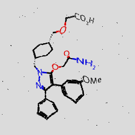 COc1cccc(-c2c(-c3ccccc3)nn(C[C@H]3CC[C@@H](COCC(=O)O)CC3)c2OCC(N)=O)c1